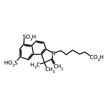 C=C1N(CCCCCC(=O)O)c2ccc3c(S(=O)(=O)O)cc(S(=O)(=O)O)cc3c2C1(C)C